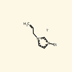 C=CC[n+]1ccn(CC)c1.[I-]